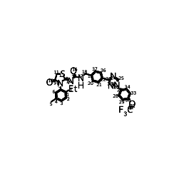 CCc1ccc(C)cc1N1C(=O)CS/C1=N\C(=O)NCc1ccc(-c2ncn(-c3ccc(OC(F)(F)F)cc3)n2)cc1